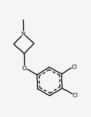 CN1CC(Oc2ccc(Cl)c(Cl)c2)C1